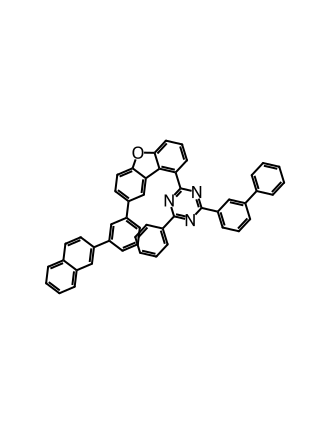 c1ccc(-c2cccc(-c3nc(-c4ccccc4)nc(-c4cccc5oc6ccc(-c7cccc(-c8ccc9ccccc9c8)c7)cc6c45)n3)c2)cc1